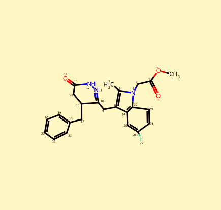 COC(=O)Cn1c(C)c(CC2=NNC(=O)CC2Cc2ccccc2)c2cc(F)ccc21